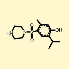 Cc1cc(O)c(C(C)C)cc1S(=O)(=O)N1CCNCC1